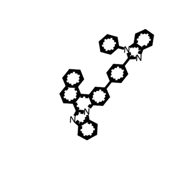 c1ccc(-n2c(-c3ccc(-c4ccc5c(c4)c4c6ccccc6ccc4c4nc6ccccc6n54)cc3)nc3ccccc32)cc1